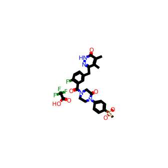 Cc1c(Cc2ccc(F)c(C(=O)N3CCN(c4ccc(S(C)(=O)=O)cc4)C(=O)C3)c2)n[nH]c(=O)c1C.O=C(O)C(F)(F)F